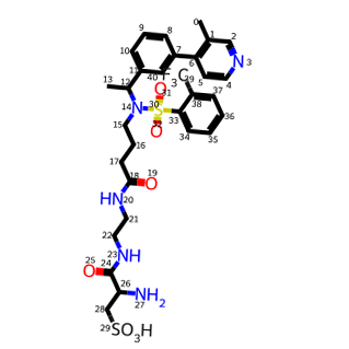 Cc1cnccc1-c1cccc(C(C)N(CCCC(=O)NCCNC(=O)C(N)CS(=O)(=O)O)S(=O)(=O)c2ccccc2C(F)(F)F)c1